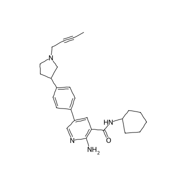 CC#CCN1CCC(c2ccc(-c3cnc(N)c(C(=O)NC4CCCCC4)c3)cc2)C1